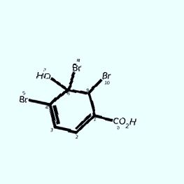 O=C(O)C1=CC=C(Br)C(O)(Br)C1Br